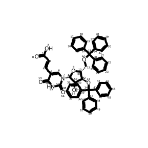 O=C(O)C=Cc1cn([C@@H]2O[C@H](COC(c3ccccc3)(c3ccccc3)c3ccccc3)[C@@H](OC(c3ccccc3)(c3ccccc3)c3ccccc3)[C@H]2O)c(=O)[nH]c1=O